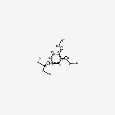 CCC(=O)CC.CCOc1ccccc1OCC